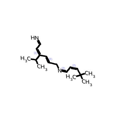 CC(C)C(=C/C=N)/C=C/C/N=C\C=C/C(C)(C)C